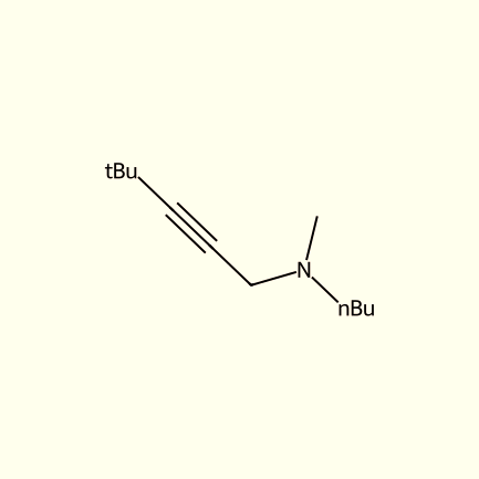 CCCCN(C)CC#CC(C)(C)C